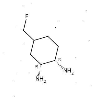 N[C@@H]1CC(CF)CC[C@@H]1N